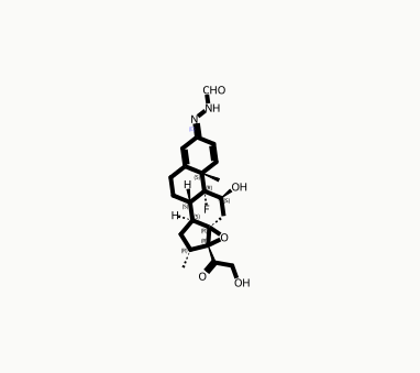 C[C@@H]1C[C@H]2[C@@H]3CCC4=C/C(=N/NC=O)C=C[C@]4(C)[C@@]3(F)[C@@H](O)C[C@@]23O[C@]13C(=O)CO